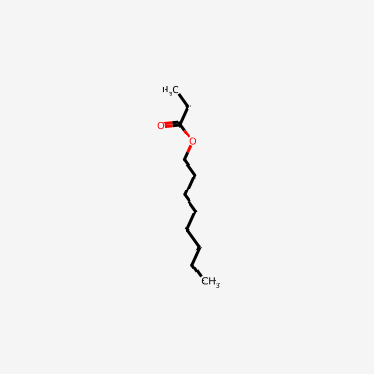 C[CH]C(=O)OCCCCCCCC